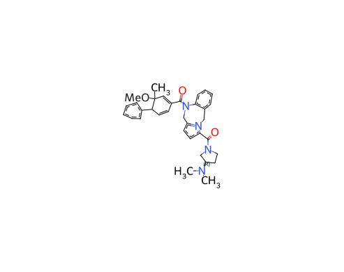 COC1(C)C=C(C(=O)N2Cc3ccc(C(=O)N4CC[C@@H](N(C)C)C4)n3Cc3ccccc32)C=CC1c1ccccc1